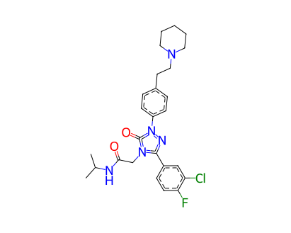 CC(C)NC(=O)Cn1c(-c2ccc(F)c(Cl)c2)nn(-c2ccc(CCN3CCCCC3)cc2)c1=O